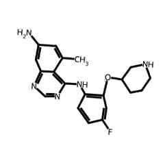 Cc1cc(N)cc2ncnc(Nc3ccc(F)cc3OC3CCCNC3)c12